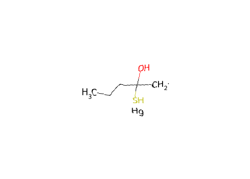 [CH2]C(O)(S)CCC.[Hg]